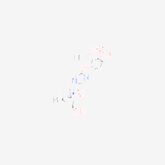 Cc1c(Oc2cnc(C(=O)N[C@@H](C)C=CO)cn2)ccc2c1B(O)OC2